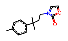 Cc1ccc(C(C)(C)CCn2ccoc2=O)cc1